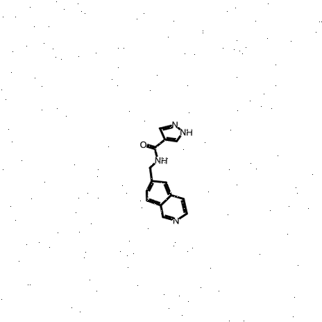 O=C(NCc1ccc2cnccc2c1)c1cn[nH]c1